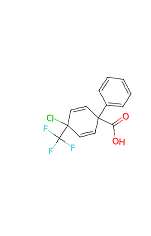 O=C(O)C1(c2ccccc2)C=CC(Cl)(C(F)(F)F)C=C1